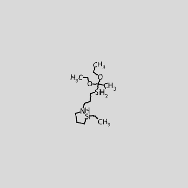 CCOC(C)(OCC)[SiH2]CCCN1CCC[SiH]1CC